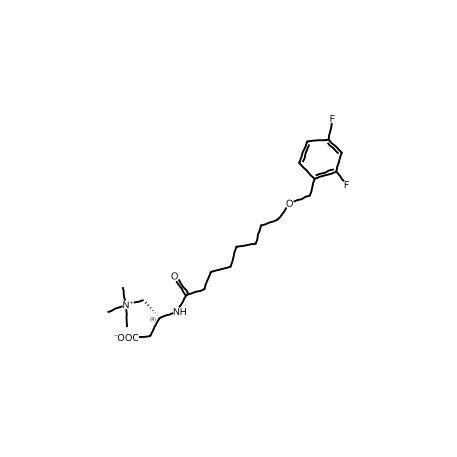 C[N+](C)(C)C[C@@H](CC(=O)[O-])NC(=O)CCCCCCCOCc1ccc(F)cc1F